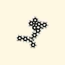 c1ccc(-c2ccc(-c3cc(-c4ccccc4)nc(-c4ccc(-c5ccc(-c6nc7ccccc7c7ccc8c(c67)-c6ccccc6C8(c6ccccc6)c6ccccc6)cc5)cc4)n3)cc2)cc1